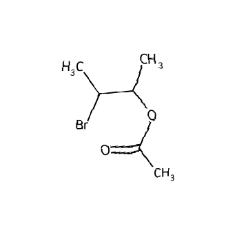 CC(=O)OC(C)C(C)Br